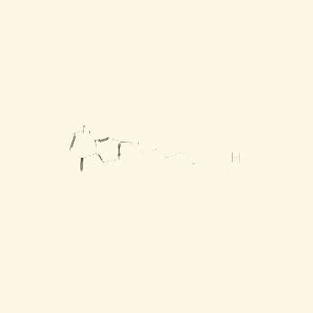 O=C(O)CCCCCOc1ccc2c(=S)cc[nH]c2c1